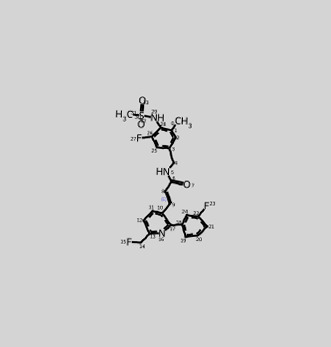 Cc1cc(CNC(=O)/C=C/c2ccc(CF)nc2-c2cccc(F)c2)cc(F)c1NS(C)(=O)=O